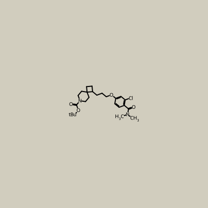 CN(C)C(=O)c1ccc(OCCCC2CCC23CCN(C(=O)OC(C)(C)C)CC3)cc1Cl